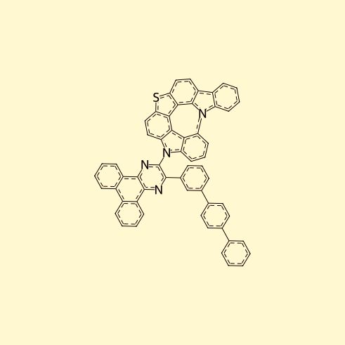 c1ccc(-c2ccc(-c3cccc(-c4nc5c6ccccc6c6ccccc6c5nc4-n4c5ccc6sc7ccc8c9ccccc9n9c%10cccc4c%10c5c6c7c89)c3)cc2)cc1